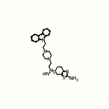 CCCN(CCN1CCN(CCn2c3ccccc3c3ccccc32)CC1)[C@H]1CCc2nc(N)sc2C1